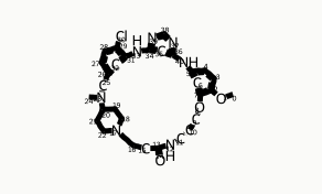 COc1ccc2cc1OCCCNC(=O)CCN1CCC(CC1)N(C)Cc1ccc(Cl)c(c1)Nc1cc(ncn1)N2